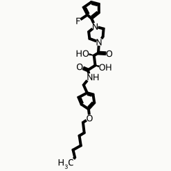 CCCCCCCOc1ccc(CNC(=O)[C@H](O)[C@@H](O)C(=O)N2CCN(c3ccccc3F)CC2)cc1